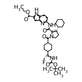 CCOC(=O)c1cc2nc(NC(=O)[C@H]3[C@H](C4CCCCC4)CCN3C(=O)C3CCC([C@@H](CF)NC(=O)OC(C)(C)C)CC3)ccc2[nH]1